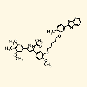 COc1ccc(-c2cc(-c3cc(C)c(C)c(OC)c3)nn2C(C)=O)cc1OCCCCCOc1cc(-c2nc3ccccc3s2)ccc1C